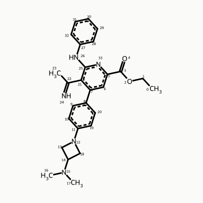 CCOC(=O)c1cc(-c2ccc(N3CC(N(C)C)C3)cc2)c(C(C)=N)c(Nc2ccccc2)n1